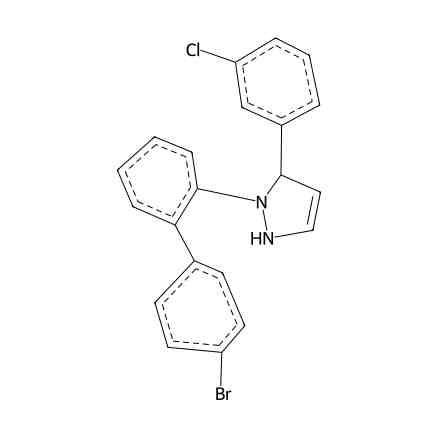 Clc1cccc(C2C=CNN2c2ccccc2-c2ccc(Br)cc2)c1